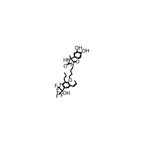 C/C=C\c1cc(C(O)(C(F)(F)F)C(F)(F)F)cc(CCC)c1OCCCCN1C(=O)NC(C)(c2ccc(O)c(O)c2)C1=O